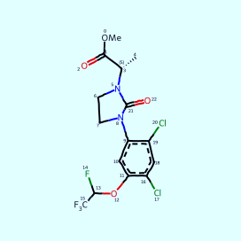 COC(=O)[C@H](C)N1CCN(c2cc(OC(F)C(F)(F)F)c(Cl)cc2Cl)C1=O